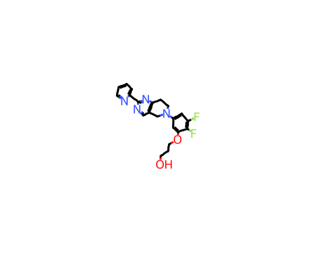 OCCCOc1cc(N2CCc3nc(-c4ccccn4)ncc3C2)cc(F)c1F